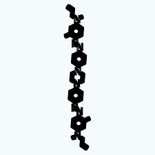 C=CCN(C)c1ccc(/N=N/c2ccc(N3CCN(c4ccc(/N=N/c5ccc(N(C)CC=C)cc5C)cc4)CC3)cc2)c(C)c1